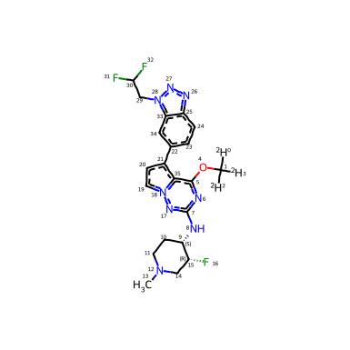 [2H]C([2H])([2H])Oc1nc(N[C@H]2CCN(C)C[C@H]2F)nn2ccc(-c3ccc4nnn(CC(F)F)c4c3)c12